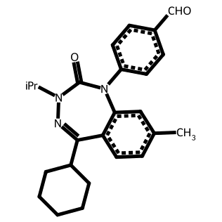 Cc1ccc2c(c1)N(c1ccc(C=O)cc1)C(=O)N(C(C)C)N=C2C1CCCCC1